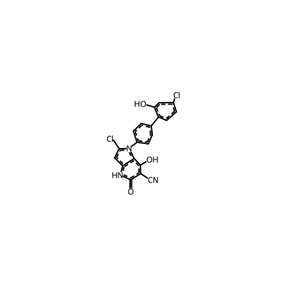 N#Cc1c(O)c2c(cc(Cl)n2-c2ccc(-c3ccc(Cl)cc3O)cc2)[nH]c1=O